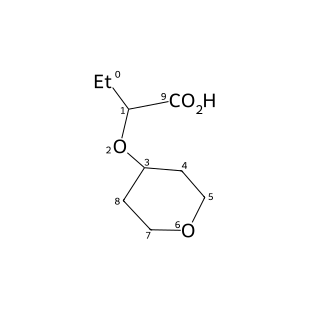 CCC(OC1CCOCC1)C(=O)O